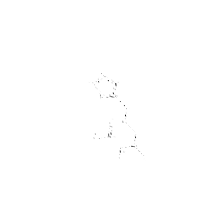 CC(CCCc1c[nH]nn1)C(C)C(=O)O